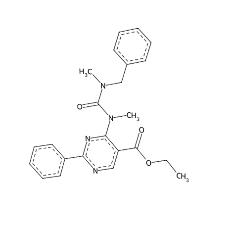 CCOC(=O)c1cnc(-c2ccccc2)nc1N(C)C(=O)N(C)Cc1ccccc1